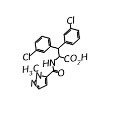 Cn1nccc1C(=O)NC(C(=O)O)C(c1cccc(Cl)c1)c1cccc(Cl)c1